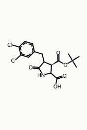 CC(C)(C)OC(=O)[C@@H]1C(Cc2ccc(Cl)c(Cl)c2)C(=O)NC1C(=O)O